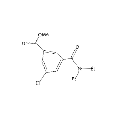 CCN(CC)C(=O)c1cc(Cl)cc(C(=O)OC)c1